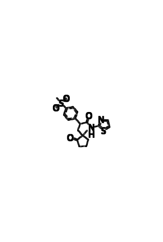 CC1(CC(C(=O)Nc2nccs2)c2ccc(S(C)(=O)=O)cc2)CCCC1=O